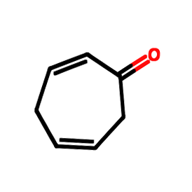 O=C1C=CCC=CC1